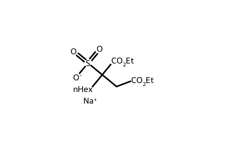 CCCCCCC(CC(=O)OCC)(C(=O)OCC)S(=O)(=O)[O-].[Na+]